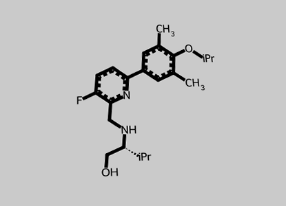 Cc1cc(-c2ccc(F)c(CN[C@@H](CO)C(C)C)n2)cc(C)c1OC(C)C